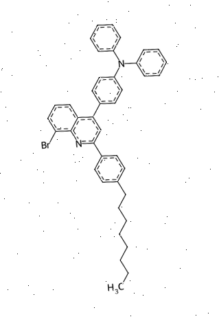 CCCCCCCCc1ccc(-c2cc(-c3ccc(N(c4ccccc4)c4ccccc4)cc3)c3cccc(Br)c3n2)cc1